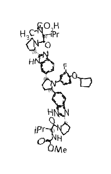 COC(=O)N[C@H](C(=O)N1CCC[C@H]1c1nc2ccc([C@H]3CC[C@H](c4ccc5nc([C@@H]6CCCN6C(=O)[C@H](C(C)C)N(C)C(=O)O)[nH]c5c4)N3c3ccc(OC4CCCC4)c(F)c3)cc2[nH]1)C(C)C